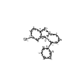 Clc1ccc2nc3cccc(-c4ccccc4)n3c2c1